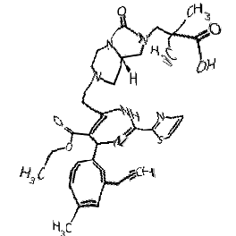 C#Cc1cc(C)ccc1C1N=C(c2nccs2)NC(CN2CCN3C(=O)N(CC(C)(C)C(=O)O)C[C@@H]3C2)=C1C(=O)OCC